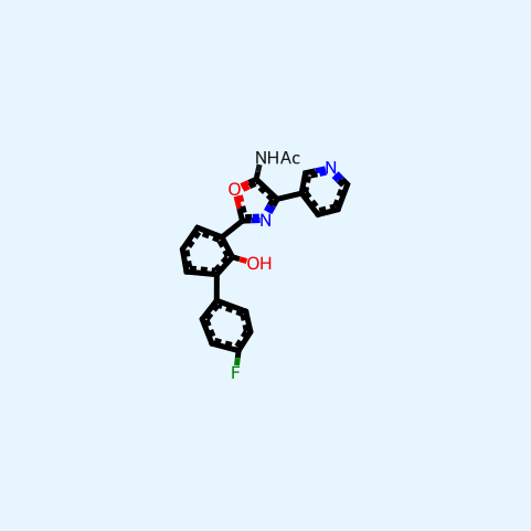 CC(=O)Nc1oc(-c2cccc(-c3ccc(F)cc3)c2O)nc1-c1cccnc1